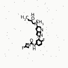 C=CC(O)CN(C)c1cnc2nn(-c3cc(NC(=O)N4CC(F)C4)ccc3F)cc2c1